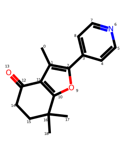 Cc1c(-c2ccncc2)oc2c1C(=O)CCC2(C)C